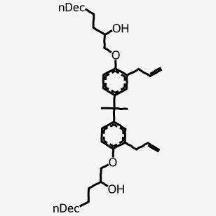 C=CCc1cc(C(C)(C)c2ccc(OCC(O)CCCCCCCCCCCC)c(CC=C)c2)ccc1OCC(O)CCCCCCCCCCCC